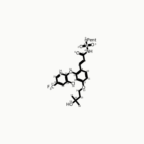 CCCCCS(=O)(=O)NC(=O)C=Cc1ccc(OCCC(C)(C)O)cc1Oc1ncc(C(F)(F)F)cc1Cl